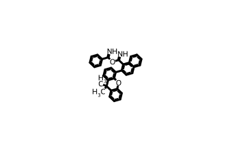 CC1(C)c2ccccc2Oc2c(-c3ccc4ccccc4c3C(=N)OC(=N)c3ccccc3)cccc21